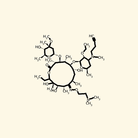 C#CCCN(C)C1C[C@@H](C)O[C@@H](O[C@@H]2[C@@H](C)[C@H](O[C@H]3C[C@@](C)(OC)[C@@H](O)[C@H](C)O3)[C@@H](C)C(=O)OC(CC)[C@@](C)(O)[C@H](O)[C@@H](C)/C(=N/OCCN(C)C)[C@H](C)C[C@H]2O)[C@@H]1OCC